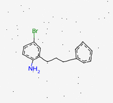 Nc1ccc(Br)cc1[CH]CCc1ccccc1